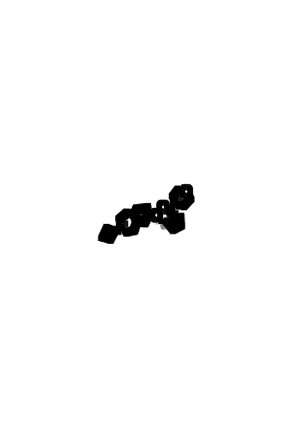 O=C(N1CCOCC1)N1CCC[C@@H]1COc1ccc2c(c1)CCN(C1CCC1)CC2